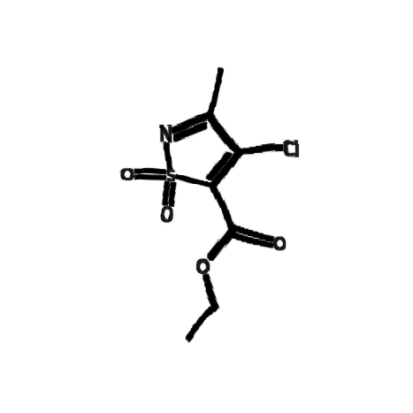 CCOC(=O)C1=C(Cl)C(C)=NS1(=O)=O